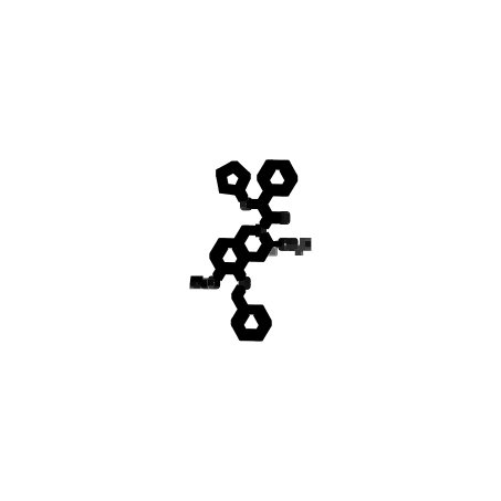 COc1ccc2c(c1OCc1ccccc1)C[C@@H](C(=O)O)N(C(=O)C(OC1CCCC1)c1ccccc1)C2